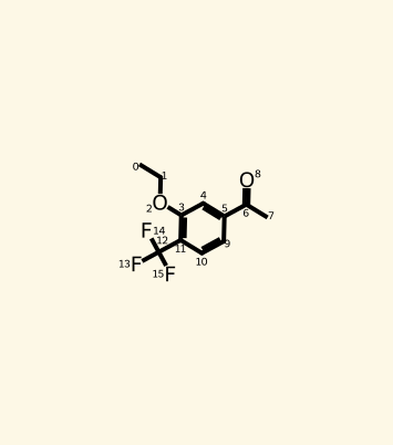 CCOc1cc(C(C)=O)ccc1C(F)(F)F